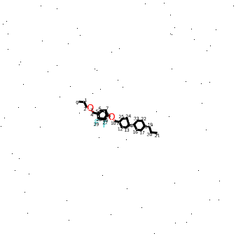 CCCOCc1ccc(OCC2CCC([C@H]3CC[C@H](CCC)CC3)CC2)c(F)c1F